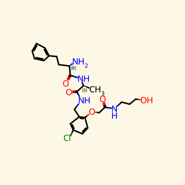 C[C@H](NC(=O)[C@H](N)CCc1ccccc1)C(=O)NCc1cc(Cl)ccc1OCC(=O)NCCCO